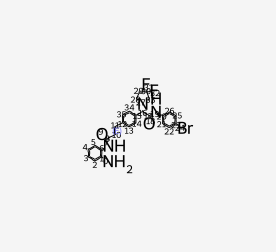 Nc1ccccc1NC(=O)/C=C/c1ccc(C(C(=O)Nc2ccc(Br)cc2)N2CCC(F)(F)C2)cc1